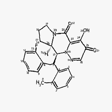 Cc1ccccc1C(c1ccccc1F)[C@H]1[C@H]2CCCN2C(=O)c2c(O)c(=O)cnn21